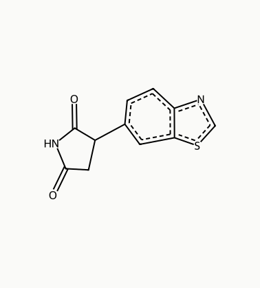 O=C1CC(c2ccc3ncsc3c2)C(=O)N1